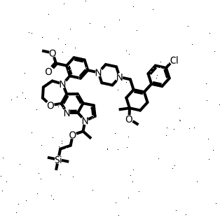 COC(=O)c1ccc(N2CCN(CC3=C(c4ccc(Cl)cc4)CCC(C)(OC)C3)CC2)cc1N1CCCOc2nc3c(ccn3C(C)OCC[Si](C)(C)C)cc21